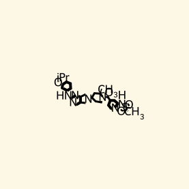 CC(C)Oc1cccc(Nc2ncc3c(n2)CN([C@H]2CCN(C(=O)c4ccnc(NS(C)(=O)=O)c4)[C@H](C)C2)C3)c1